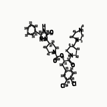 CN1CCN(C2CCN(C(=O)C(Cc3ccc(Cl)c(Cl)c3)OC(=O)N3CCC(n4nc(-c5ccccc5)[nH]c4=O)CC3)CC2)CC1